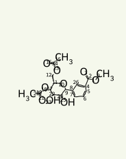 COC(=O)c1cccc(C2O[C@H](COC(C)=O)[C@@H](OC(C)=O)[C@H](O)[C@@H]2O)c1